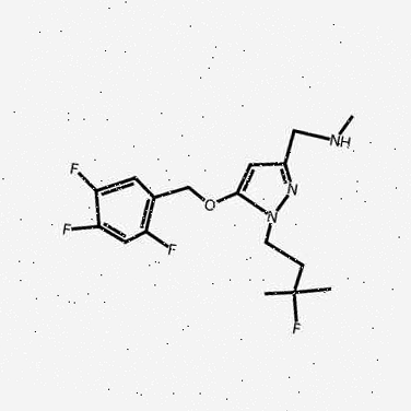 CNCc1cc(OCc2cc(F)c(F)cc2F)n(CCC(C)(C)F)n1